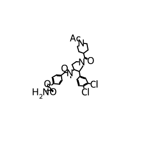 CC(=O)N1CCC(C(=O)N2CCC(N(C)C(=O)c3ccc(S(N)(=O)=O)cc3)C(c3ccc(Cl)c(Cl)c3)C2)CC1